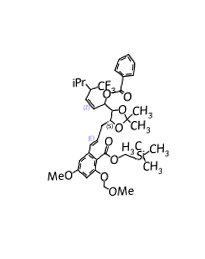 COCOc1cc(OC)cc(/C=C/C[C@@H]2OC(C)(C)OC2C(/C=C\C(C(C)C)C(F)(F)F)OC(=O)c2ccccc2)c1C(=O)OCC[Si](C)(C)C